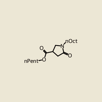 CCCCCCCCN1CC(C(=O)OCCCCC)CC1=O